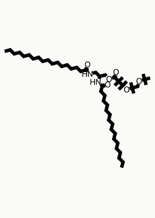 CCCCCCCCCCCCCCCCCC(=O)NCC(COC(=O)C(C)(C)C(C)(C)OC(C)(C)COC(C)(C)C)NC(=O)CCCCCCCCCCCCCCCCC